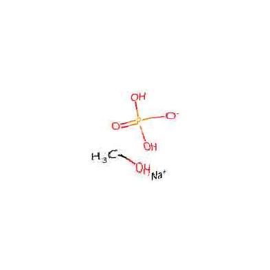 CO.O=P([O-])(O)O.[Na+]